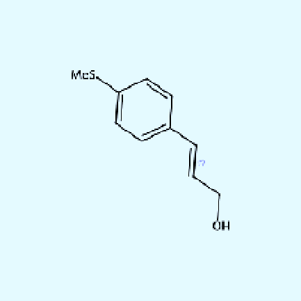 CSc1ccc(/C=C/CO)cc1